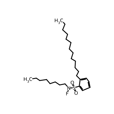 CCCCCCCCCCCCCc1ccccc1S(=O)(=O)N(F)CCCCCCCC